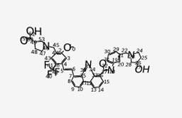 COc1cc(/C=C/c2cccc(-c3cccc(-c4nc5cc(CN6CC[C@@H](O)C6)ccc5o4)c3C)c2C#N)c(C(F)(F)F)cc1CN1CC[C@@H](C(=O)O)C1